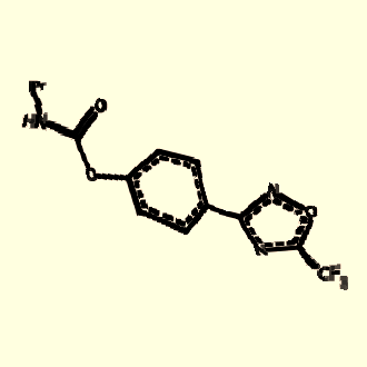 CC(C)NC(=O)Oc1ccc(-c2noc(C(F)(F)F)n2)cc1